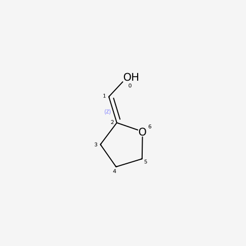 O/C=C1/CCCO1